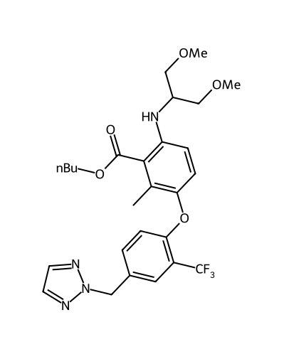 CCCCOC(=O)c1c(NC(COC)COC)ccc(Oc2ccc(Cn3nccn3)cc2C(F)(F)F)c1C